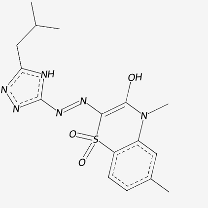 Cc1ccc2c(c1)N(C)C(O)=C(N=Nc1nnc(CC(C)C)[nH]1)S2(=O)=O